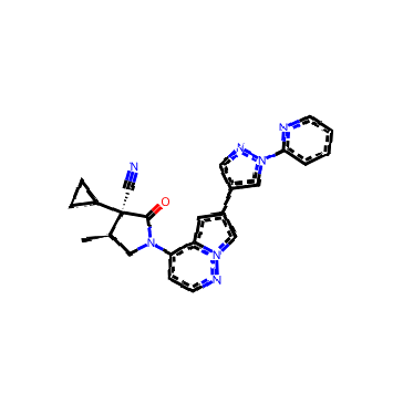 C[C@@H]1CN(c2ccnn3cc(-c4cnn(-c5ccccn5)c4)cc23)C(=O)[C@]1(C#N)C1CC1